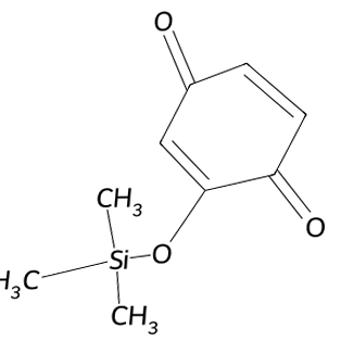 C[Si](C)(C)OC1=CC(=O)C=CC1=O